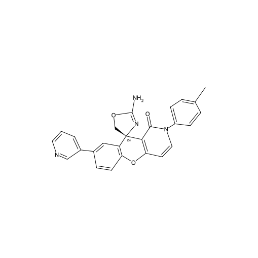 Cc1ccc(-n2ccc3c(c2=O)[C@]2(COC(N)=N2)c2cc(-c4cccnc4)ccc2O3)cc1